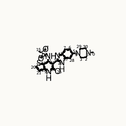 CN1CCN(c2ccc3nc(-c4c(NS(C)(=O)=O)c5sccc5[nH]c4=O)[nH]c3c2)CC1